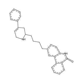 O=c1[nH]c2ccc(CCCCC3CC(c4ccccc4)=CCN3)cc2c2ccccc12